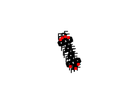 Fc1c(F)c(N2c3ccccc3C(C(F)(F)F)(C(F)(F)F)c3ccccc32)c(F)c(F)c1-c1c(F)c(F)c(N2c3ccccc3C(C(F)(F)F)(C(F)(F)F)c3ccccc32)c(F)c1F